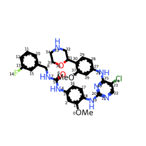 COc1cc(NC(=O)NCc2cccc(F)c2)ccc1Nc1ncc(Cl)c(Nc2ccc(C3CNCCO3)c(OC)c2)n1